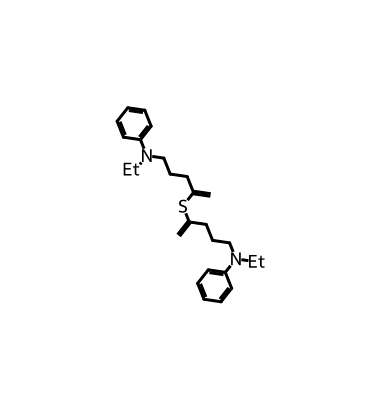 C=C(CCCN(CC)c1ccccc1)SC(=C)CCCN(CC)c1ccccc1